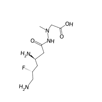 CN(CC(=O)O)NC(=O)C[C@H](N)C[C@@H](F)CN